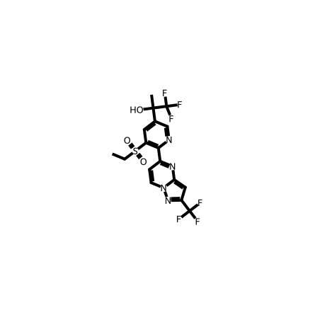 CCS(=O)(=O)c1cc(C(C)(O)C(F)(F)F)cnc1-c1ccn2nc(C(F)(F)F)cc2n1